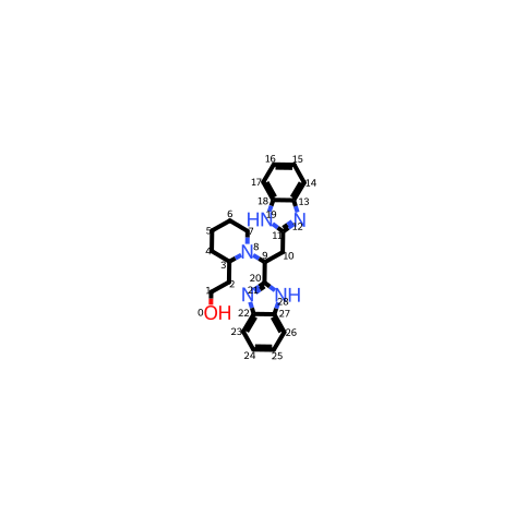 OCCC1CCCCN1C(Cc1nc2ccccc2[nH]1)c1nc2ccccc2[nH]1